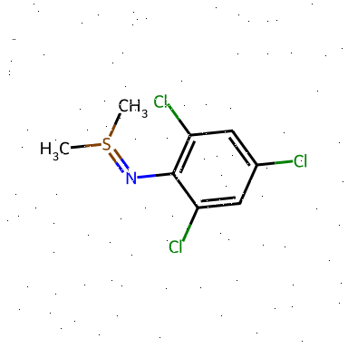 CS(C)=Nc1c(Cl)cc(Cl)cc1Cl